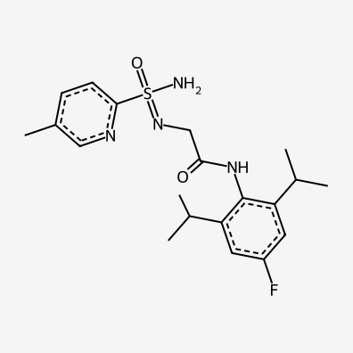 Cc1ccc(S(N)(=O)=NCC(=O)Nc2c(C(C)C)cc(F)cc2C(C)C)nc1